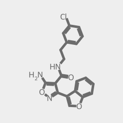 Nc1onc(-c2coc3ccccc23)c1C(=O)NCCc1cccc(Cl)c1